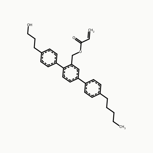 C=CC(=O)OCc1cc(-c2ccc(CCCCC)cc2)ccc1-c1ccc(CCCO)cc1